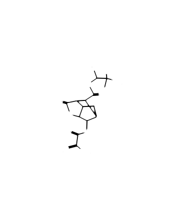 C=C(C)C(=O)OC1C2CC3C1OC(=O)C3C2C(=O)OC(C(C)C)C(F)(F)C(=O)O